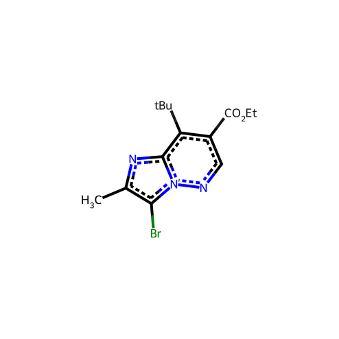 CCOC(=O)c1cnn2c(Br)c(C)nc2c1C(C)(C)C